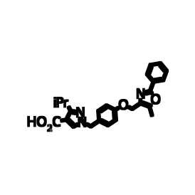 Cc1oc(-c2ccccc2)nc1COc1ccc(Cn2cc(C(=O)O)c(C(C)C)n2)cc1